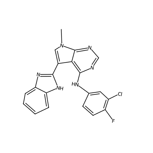 Cn1cc(-c2nc3ccccc3[nH]2)c2c(Nc3ccc(F)c(Cl)c3)ncnc21